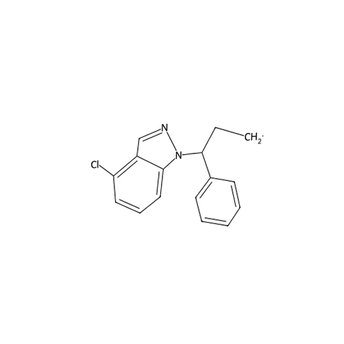 [CH2]CC(c1ccccc1)n1ncc2c(Cl)cccc21